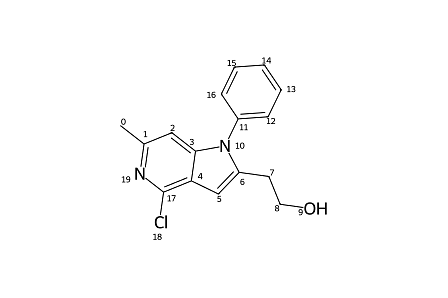 Cc1cc2c(cc(CCO)n2-c2ccccc2)c(Cl)n1